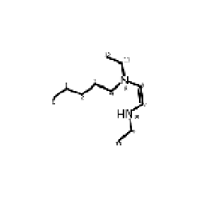 CCCCCN(/C=C\NCC)CC